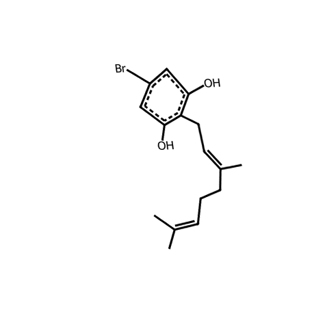 CC(C)=CCC/C(C)=C/Cc1c(O)cc(Br)cc1O